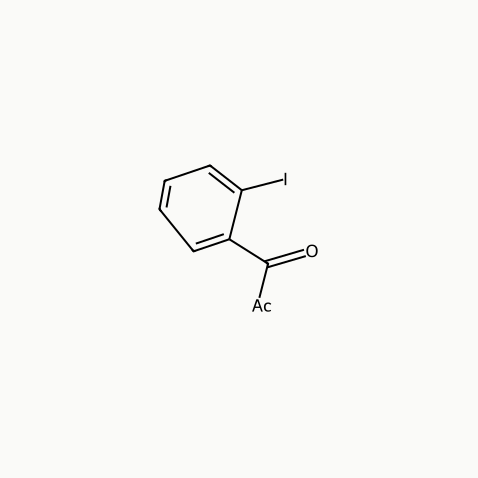 CC(=O)C(=O)c1ccccc1I